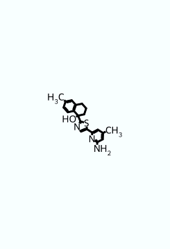 Cc1cc(N)nc(-c2cnc(C3(O)CCCc4cc(C)ccc43)s2)c1